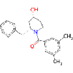 Cc1cc(C)cc(C(=O)N2CC[C@@H](O)C[C@H]2Cc2ccccc2)c1